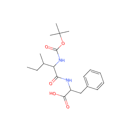 CCC(C)C(NC(=O)OC(C)(C)C)C(=O)NC(Cc1ccccc1)C(=O)O